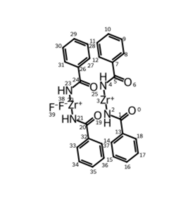 O=C([NH][Zr+][NH]C(=O)c1ccccc1)c1ccccc1.O=C([NH][Zr+][NH]C(=O)c1ccccc1)c1ccccc1.[F-].[F-]